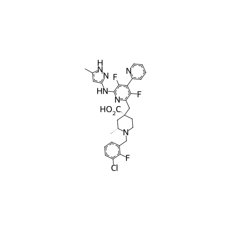 Cc1cc(Nc2nc(C[C@@]3(C(=O)O)CCN(Cc4cccc(Cl)c4F)[C@H](C)C3)c(F)c(-c3ccccn3)c2F)n[nH]1